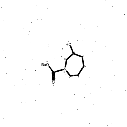 CC(C)COC(=O)N1CCCCC(O)C1